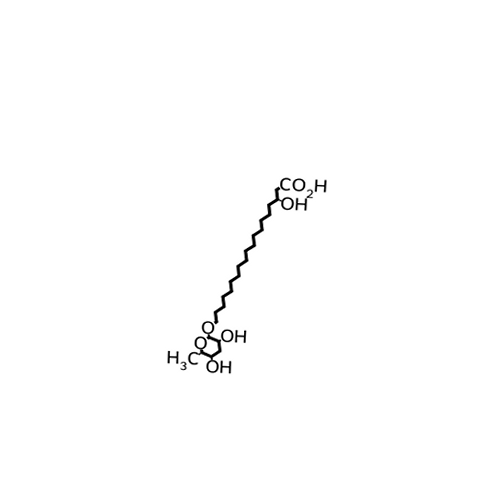 C[C@@H]1O[C@@H](OCCCCCCCCCCCCCCCC[C@@H](O)CC(=O)O)[C@H](O)C[C@H]1O